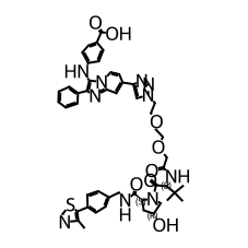 Cc1ncsc1-c1ccc(CNC(=O)[C@@H]2C[C@@H](O)CN2C(=O)[C@@H](NC(=O)COCCOCCn2cc(-c3ccn4c(Nc5ccc(C(=O)O)cc5)c(-c5ccccc5)nc4c3)nn2)C(C)(C)C)cc1